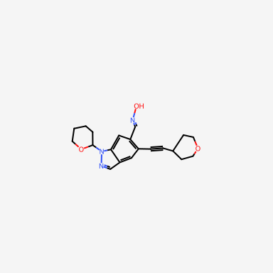 O/N=C/c1cc2c(cnn2C2CCCCO2)cc1C#CC1CCOCC1